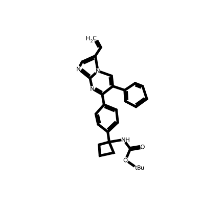 C=Cc1cnc2nc(-c3ccc(C4(NC(=O)OC(C)(C)C)CCC4)cc3)c(-c3ccccc3)cn12